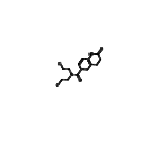 O=C1CCc2cc(C(=O)N(CCCl)CCCl)ccc2N1